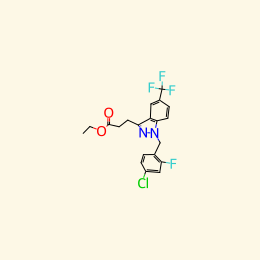 CCOC(=O)CCc1nn(Cc2ccc(Cl)cc2F)c2ccc(C(F)(F)F)cc12